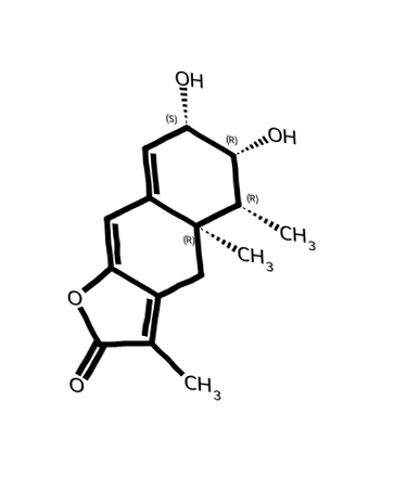 CC1=C2C[C@@]3(C)C(=C[C@H](O)[C@H](O)[C@@H]3C)C=C2OC1=O